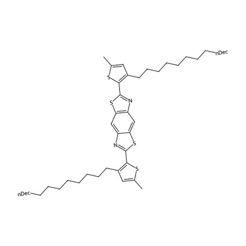 CCCCCCCCCCCCCCCCCCc1cc(C)sc1-c1nc2cc3sc(-c4sc(C)cc4CCCCCCCCCCCCCCCCCC)nc3cc2s1